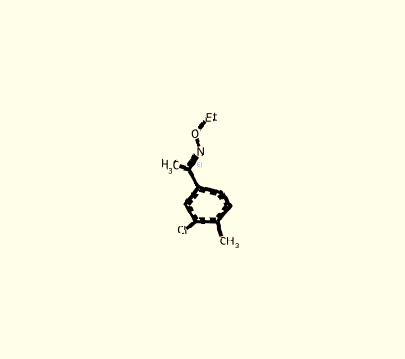 CCO/N=C(\C)c1ccc(C)c(Cl)c1